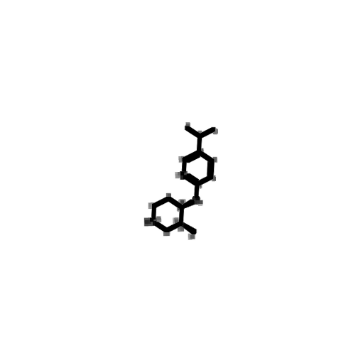 CC(C)c1ccc(O[C@@H]2CCNC[C@@H]2C)nc1